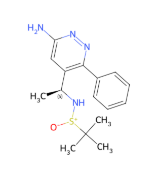 C[C@H](N[S+]([O-])C(C)(C)C)c1cc(N)nnc1-c1ccccc1